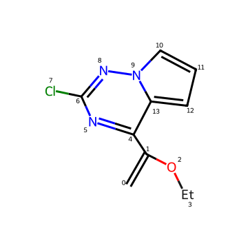 C=C(OCC)c1nc(Cl)nn2cccc12